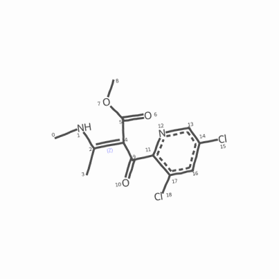 CN/C(C)=C(\C(=O)OC)C(=O)c1ncc(Cl)cc1Cl